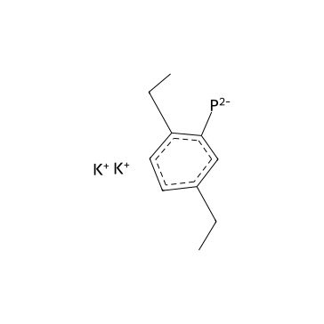 CCc1ccc(CC)c([P-2])c1.[K+].[K+]